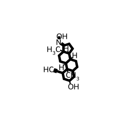 C#CC1C[C@H](O)CC2CC[C@@H]3[C@H](CC[C@]4(C)/C(=N/O)CC[C@@H]34)[C@@]12C